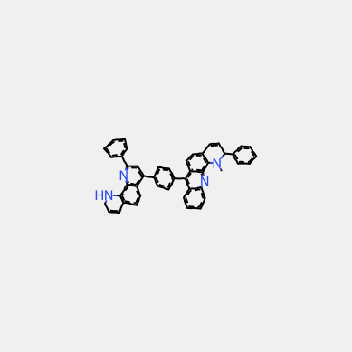 CN1c2c(ccc3c(-c4ccc(-c5cc(-c6ccccc6)nc6c7c(ccc56)C=CCN7)cc4)c4ccccc4nc23)C=CC1c1ccccc1